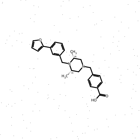 C[C@@H]1CN(Cc2ccc(C(=O)O)cc2)C[C@H](C)N1Cc1cccc(-c2ccco2)c1